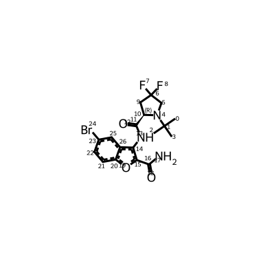 CC(C)(C)N1CC(F)(F)C[C@@H]1C(=O)Nc1c(C(N)=O)oc2ccc(Br)cc12